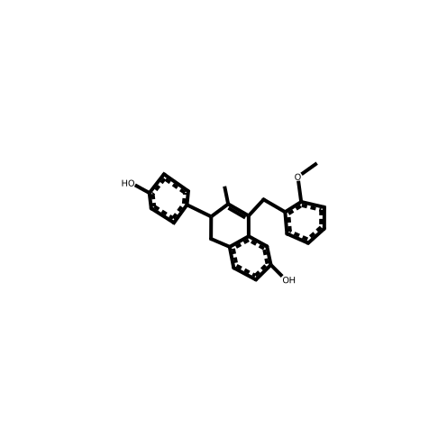 COc1ccccc1CC1=C(C)C(c2ccc(O)cc2)Cc2ccc(O)cc21